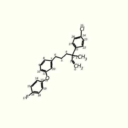 C=CC(C)(CCCc1cccc(Oc2ccc(F)cc2)c1)c1ccc(Cl)cc1